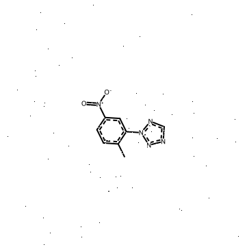 Cc1ccc([N+](=O)[O-])cc1-n1ncnn1